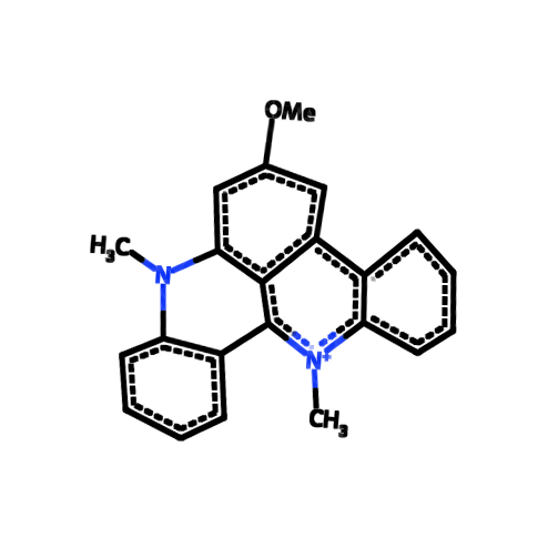 COc1cc2c3c([n+](C)c4ccccc4c3c1)-c1ccccc1N2C